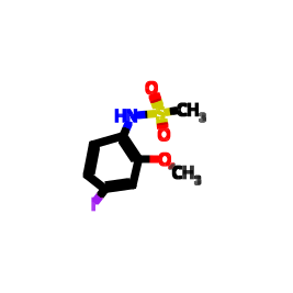 COc1cc(I)ccc1NS(C)(=O)=O